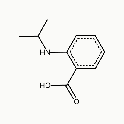 CC(C)Nc1ccccc1C(=O)O